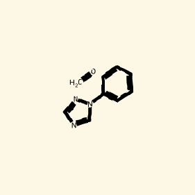 C=O.c1ccc(-n2cncn2)cc1